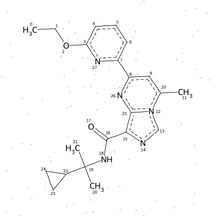 CCOc1cccc(-c2cc(C)n3cnc(C(=O)NC(C)(C)C4CC4)c3n2)n1